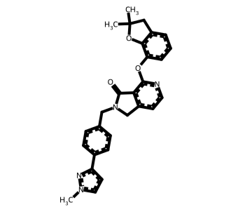 Cn1ccc(-c2ccc(CN3Cc4ccnc(Oc5cccc6c5OC(C)(C)C6)c4C3=O)cc2)n1